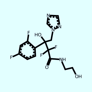 O=C(NCCO)C(F)(F)C(O)(Cn1cncn1)c1ccc(F)cc1F